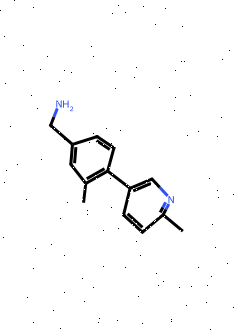 Cc1ccc(-c2ccc(CN)cc2C)cn1